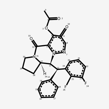 CC(=O)Oc1c2n(ncc1=O)[C@@H]([C@H](c1ccccc1)c1cccc(F)c1F)[C@H]1CCCN1C2=O